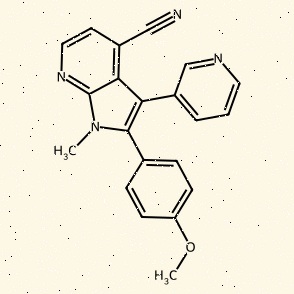 COc1ccc(-c2c(-c3cccnc3)c3c(C#N)ccnc3n2C)cc1